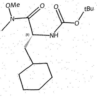 CON(C)C(=O)[C@@H](CC1CCCCC1)NC(=O)OC(C)(C)C